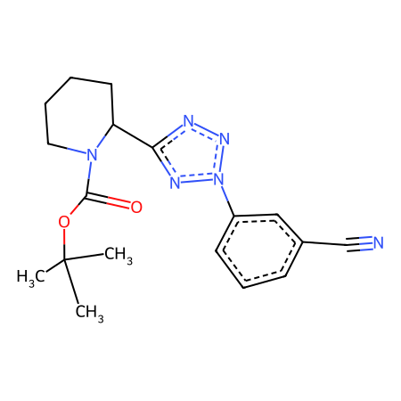 CC(C)(C)OC(=O)N1CCCCC1c1nnn(-c2cccc(C#N)c2)n1